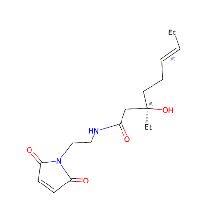 CC/C=C/CC[C@](O)(CC)CC(=O)NCCN1C(=O)C=CC1=O